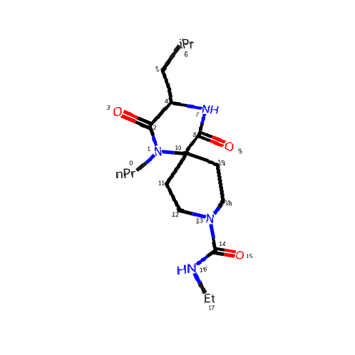 CCCN1C(=O)C(CC(C)C)NC(=O)C12CCN(C(=O)NCC)CC2